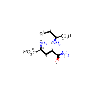 CC(C)CC(N)C(=O)O.NC(=O)CC[C@H](N)C(=O)O